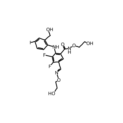 O=C(NOCCO)c1cc(/C=N/OCCO)c(F)c(F)c1Nc1ccc(I)cc1CO